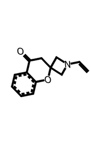 C=CN1CC2(CC(=O)c3ccccc3O2)C1